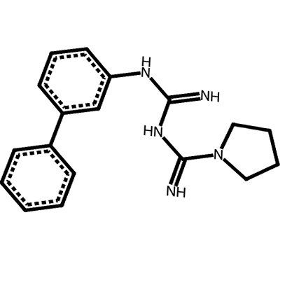 N=C(NC(=N)N1CCCC1)Nc1cccc(-c2ccccc2)c1